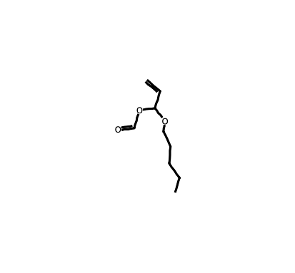 C=CC(OC=O)OCCCCC